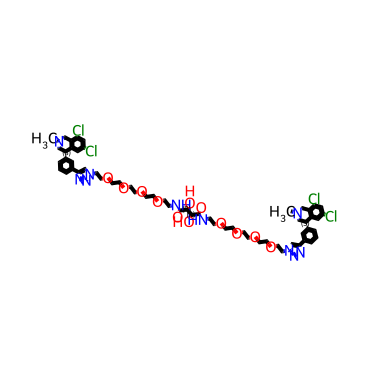 CN1Cc2c(Cl)cc(Cl)cc2[C@H](c2cccc(-c3cn(CCOCCOCCOCCOCCNC(=O)[C@H](O)[C@@H](O)C(=O)NCCOCCOCCOCCOCCn4cc(-c5cccc([C@@H]6CN(C)Cc7c(Cl)cc(Cl)cc76)c5)nn4)nn3)c2)C1